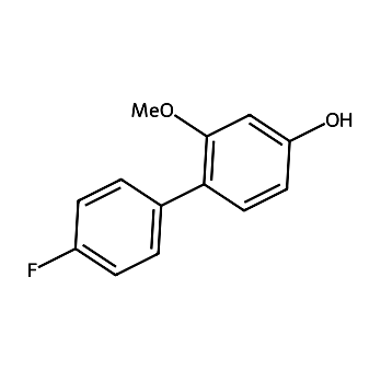 COc1cc(O)ccc1-c1ccc(F)cc1